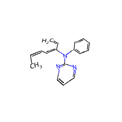 C=C/C(=C\C=C/C)N(c1ccccc1)c1ncccn1